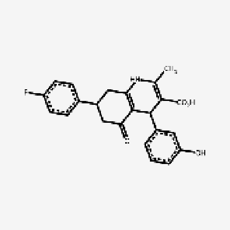 CC1=C(C(=O)O)C(c2cccc(O)c2)C2=C(CC(c3ccc(F)cc3)CC2=O)N1